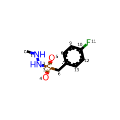 CNNS(=O)(=O)Cc1ccc(F)cc1